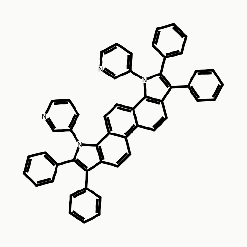 c1ccc(-c2c(-c3ccccc3)n(-c3cccnc3)c3c2ccc2c4ccc5c(-c6ccccc6)c(-c6ccccc6)n(-c6cccnc6)c5c4ccc23)cc1